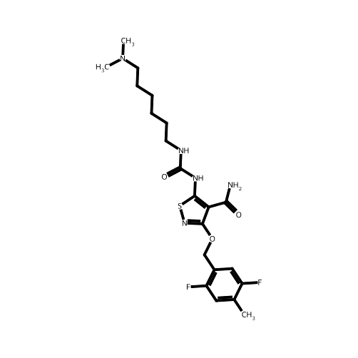 Cc1cc(F)c(COc2nsc(NC(=O)NCCCCCCN(C)C)c2C(N)=O)cc1F